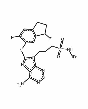 CC(C)NS(=O)(=O)CCCn1c(Sc2cc3c(cc2I)CCC3F)nc2c(N)ncnc21